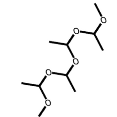 COC(C)OC(C)OC(C)OC(C)OC